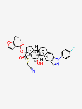 Cc1occc1C(=O)O[C@]1(C(=O)SCC#N)CC[C@H]2[C@@H]3CCC4=Cc5c(cnn5-c5ccc(F)cc5)C[C@]4(C)[C@H]3[C@@H](O)C[C@@]21C